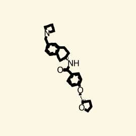 O=C(N[C@H]1CCc2cc(CN3CCC3)ccc2C1)c1ccc(OC[C@@H]2CCCO2)cc1